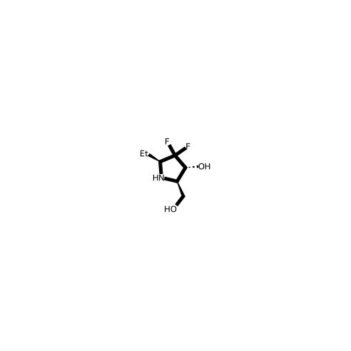 CC[C@@H]1N[C@H](CO)[C@@H](O)C1(F)F